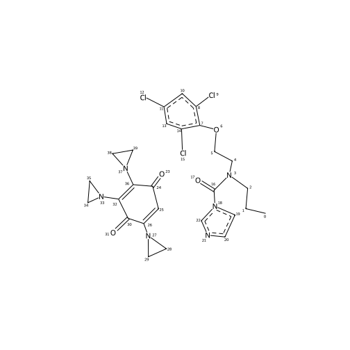 CCCN(CCOc1c(Cl)cc(Cl)cc1Cl)C(=O)n1ccnc1.O=C1C=C(N2CC2)C(=O)C(N2CC2)=C1N1CC1